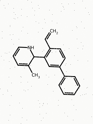 C=Cc1ccc(-c2ccccc2)cc1C1NC=CC=C1C